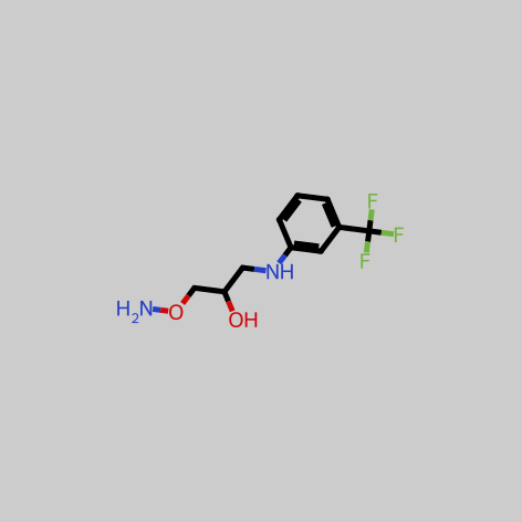 NOCC(O)CNc1cccc(C(F)(F)F)c1